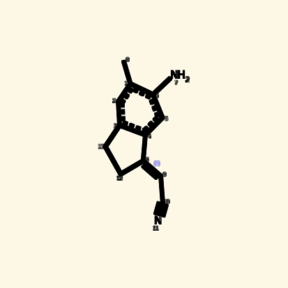 Cc1cc2c(cc1N)/C(=C/C#N)CC2